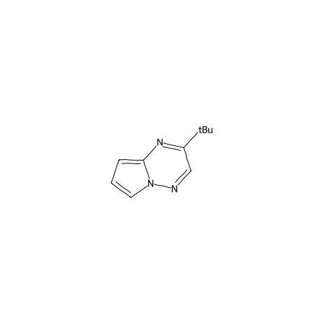 CC(C)(C)c1cnn2cccc2n1